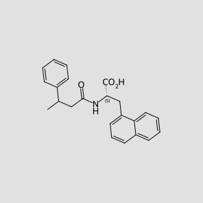 CC(CC(=O)N[C@@H](Cc1cccc2ccccc12)C(=O)O)c1ccccc1